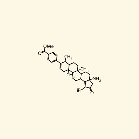 COC(=O)c1ccc(C2=CCC3(C)C(CCC4(C)C5CCC6(N)CC(=O)C(C(C)C)=C6C5CCC34)C2C)cc1